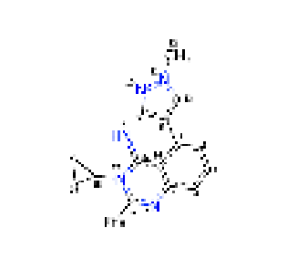 CCc1nc2cccc(-c3cnn(C)c3)c2c(=N)n1C1CC1